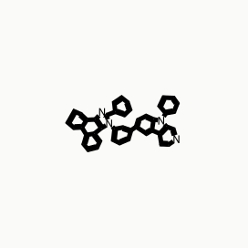 c1ccc(-c2nc3c4ccccc4c4ccccc4c3n2-c2cccc(-c3ccc4c(c3)c3ccncc3n4-c3ccccc3)c2)cc1